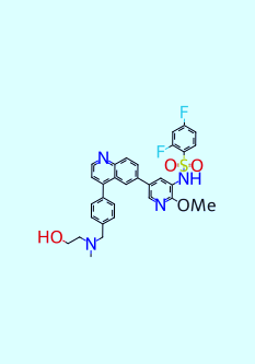 COc1ncc(-c2ccc3nccc(-c4ccc(CN(C)CCO)cc4)c3c2)cc1NS(=O)(=O)c1ccc(F)cc1F